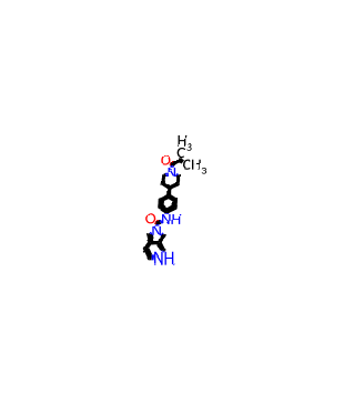 CC(C)C(=O)N1CCC(c2ccc(NC(=O)N3C=C4C=CNC=C4C3)cc2)CC1